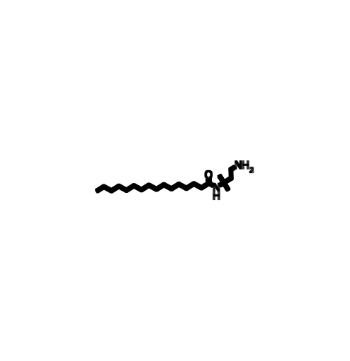 CCCCCCCCCCCCCCCC(=O)NC(C)(C)CCN